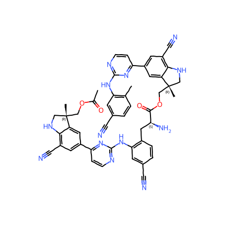 CC(=O)OC[C@@]1(C)CNc2c(C#N)cc(-c3ccnc(Nc4cc(C#N)ccc4C[C@H](N)C(=O)OC[C@@]4(C)CNc5c(C#N)cc(-c6ccnc(Nc7cc(C#N)ccc7C)n6)cc54)n3)cc21